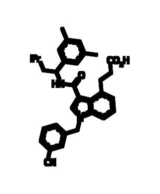 Cc1cc(C)cc(C(CC(C)C)NC(=O)c2cn(Cc3cccc(C#N)c3)c3cccc(CCC(=O)O)c23)c1